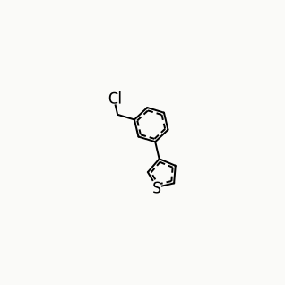 ClCc1cccc(-c2ccsc2)c1